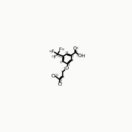 O=C(O)c1cc(OCC=C(Cl)Cl)cc(C(F)(F)F)c1